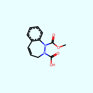 COC(=O)N1c2ccccc2C=CCN1C(=O)O